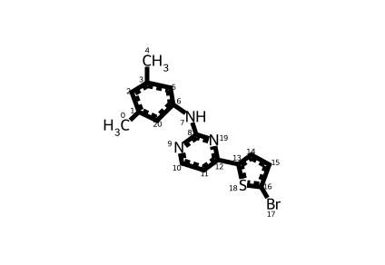 Cc1cc(C)cc(Nc2nccc(-c3ccc(Br)s3)n2)c1